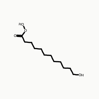 O=C(CCCCCCCCCCCO)OO